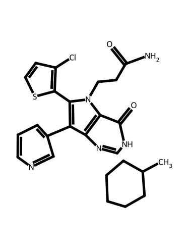 CC1CCCCC1.NC(=O)CCn1c(-c2sccc2Cl)c(-c2cccnc2)c2nc[nH]c(=O)c21